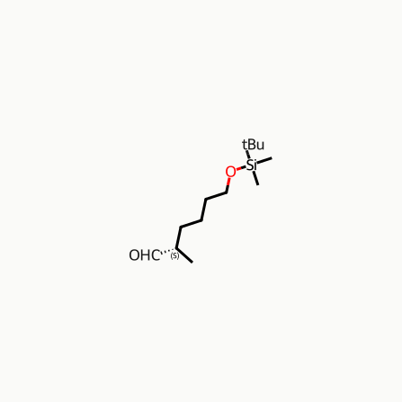 C[C@H](C=O)CCCCO[Si](C)(C)C(C)(C)C